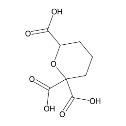 O=C(O)C1CCCC(C(=O)O)(C(=O)O)O1